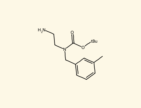 Cc1cccc(CN(CCN)C(=O)OC(C)(C)C)c1